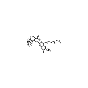 CC[C@@]1(O)C(=O)OCc2c1cc1n(c2=O)Cc2c-1nc1cc(F)c(C)cc1c2CSCCCSC